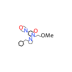 COCCCn1c(N2CCCC2Cc2ccccc2)cc(N2CCOCC2)cc1=O